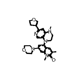 Cc1cc2c(N3CCN(C)c4cc(C5CCOC5)ncc43)cc(N3CCOCC3)cc2n(C)c1=O